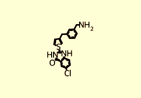 NCc1cccc(CC2=CS(=c3[nH]c(=O)c4cc(Cl)ccc4[nH]3)C=C2)c1